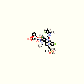 CN(Cc1ccccc1OP(=O)(O)O)C(=O)N(c1nn(CC(F)(F)F)c2c(-c3ccc(C#CC(C)(C)S(C)(=O)=O)nc3C(Cc3cc(F)cc(F)c3)NC(=O)Cn3nc(C(F)(F)F)c4c3C(F)(F)[C@@H]3C[C@H]43)ccc(Cl)c12)S(C)(=O)=O